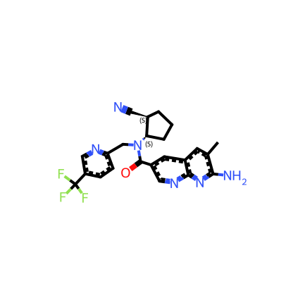 Cc1cc2cc(C(=O)N(Cc3ccc(C(F)(F)F)cn3)[C@H]3CCC[C@@H]3C#N)cnc2nc1N